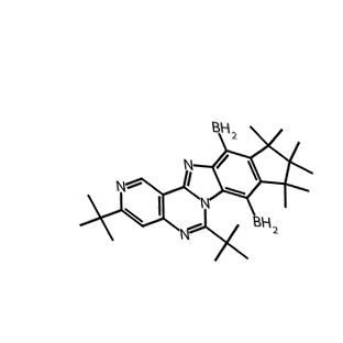 Bc1c2c(c(B)c3c1nc1c4cnc(C(C)(C)C)cc4nc(C(C)(C)C)n13)C(C)(C)C(C)(C)C2(C)C